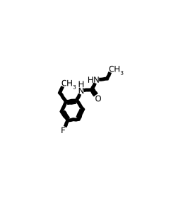 CCNC(=O)Nc1ccc(F)cc1CC